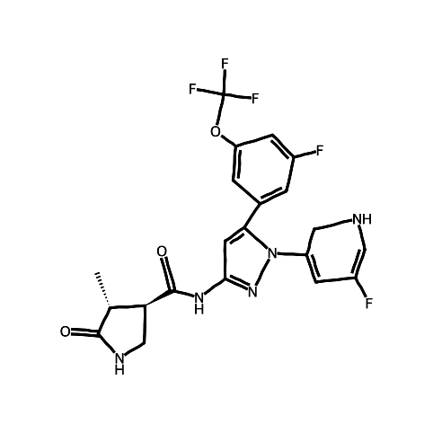 C[C@H]1C(=O)NC[C@@H]1C(=O)Nc1cc(-c2cc(F)cc(OC(F)(F)F)c2)n(C2=CC(F)=CNC2)n1